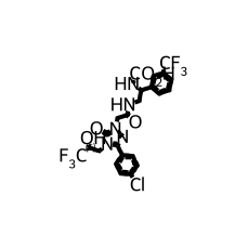 O=C(O)NC(CNC(=O)Cn1nc(-c2ccc(Cl)cc2)n(C[C@H](O)C(F)(F)F)c1=O)c1cccc(C(F)(F)F)c1